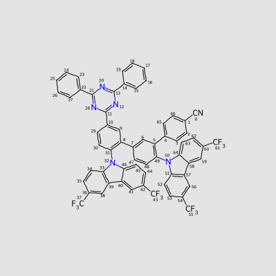 N#Cc1ccc(-c2cc(-c3cc(-c4nc(-c5ccccc5)nc(-c5ccccc5)n4)ccc3-n3c4ccc(C(F)(F)F)cc4c4cc(C(F)(F)F)ccc43)ccc2-n2c3ccc(C(F)(F)F)cc3c3cc(C(F)(F)F)ccc32)cc1